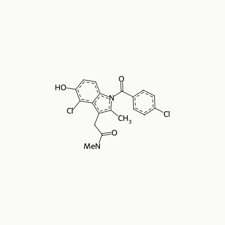 CNC(=O)Cc1c(C)n(C(=O)c2ccc(Cl)cc2)c2ccc(O)c(Cl)c12